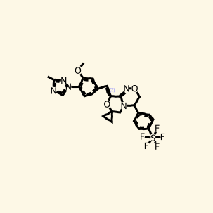 COc1cc(/C=C2\OC3(CC3)CN3C2=NOCC3c2ccc(S(F)(F)(F)(F)F)cc2)ccc1-n1cnc(C)n1